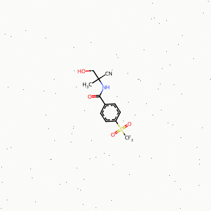 CC(C#N)(CO)NC(=O)c1ccc(S(=O)(=O)C(F)(F)F)cc1